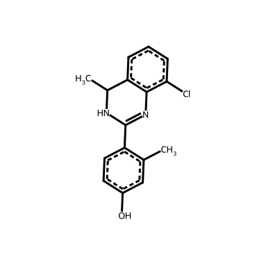 Cc1cc(O)ccc1C1=Nc2c(Cl)cccc2C(C)N1